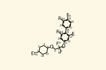 CCC1CCC(OCC(F)(F)Oc2cc(F)c(-c3ccc(F)c(F)c3)c(F)c2)CC1